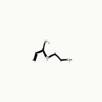 C=CC(N)OCCO